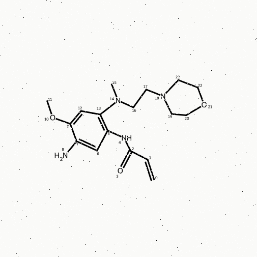 C=CC(=O)Nc1cc(N)c(OC)cc1N(C)CCN1CCOCC1